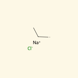 [CH2]CC.[Cl-].[Na+]